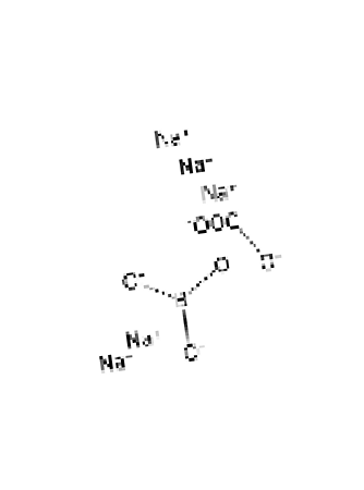 O=C([O-])[O-].[Na+].[Na+].[Na+].[Na+].[Na+].[O-]B([O-])[O-]